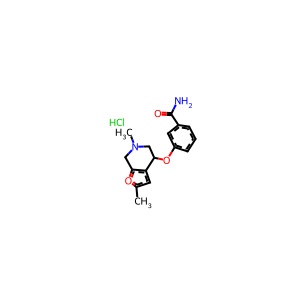 Cc1cc2c(o1)CN(C)CC2Oc1cccc(C(N)=O)c1.Cl